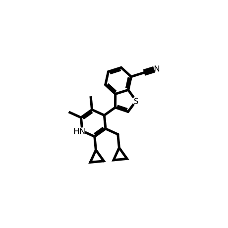 CC1=C(C)C(c2csc3c(C#N)cccc23)C(CC2CC2)=C(C2CC2)N1